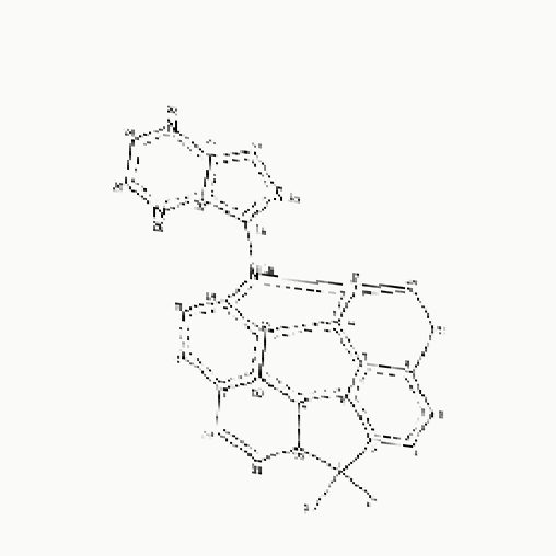 CC1(C)c2ccc3c4c2c2c5c(ccc6c5c4c(n6-c4scc5nccnc45)=CC3)C=CC21